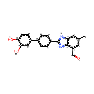 Cc1cc(C=O)c2[nH]c(-c3ccc(-c4ccc(O)c(O)c4)cc3)nc2c1